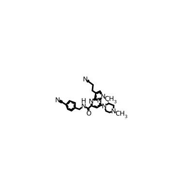 C[C@@H]1CN(C)CCN1c1cc(C(=O)NCc2ccc(C#N)cc2)nc2c(CCC#N)cnn12